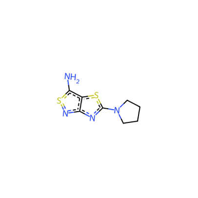 Nc1snc2nc(N3CCCC3)sc12